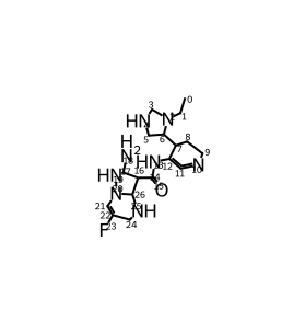 CCN1CNCC1C1CCN=C=C1NC(=O)C1C(N)NN2C=C(F)CNC12